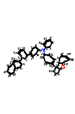 c1ccc(N(c2ccc(-c3cccc(-c4ccc5ccccc5c4)c3)cc2)c2ccc(-c3cccc4oc5ccccc5c34)cc2)cc1